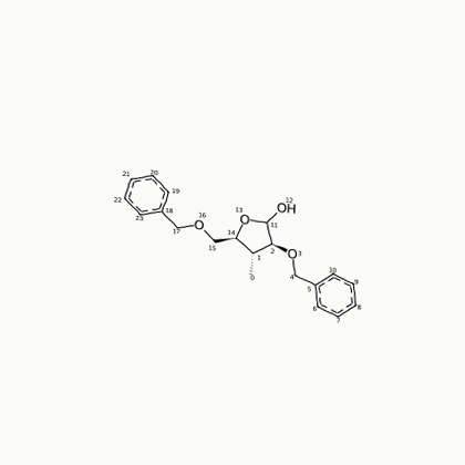 C[C@H]1[C@H](OCc2ccccc2)C(O)O[C@@H]1COCc1ccccc1